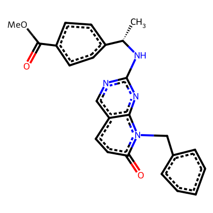 COC(=O)c1ccc([C@H](C)Nc2ncc3ccc(=O)n(Cc4ccccc4)c3n2)cc1